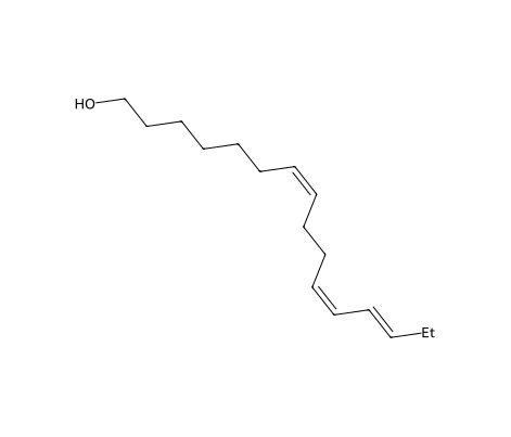 CC/C=C/C=C\CC/C=C\CCCCCCO